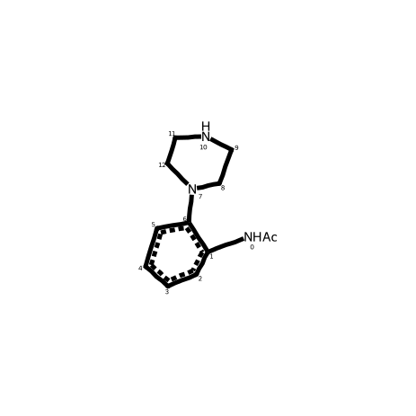 CC(=O)Nc1ccccc1N1CCNCC1